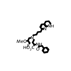 COC(CF)CN(CCCCc1ccc2c(n1)NCCC2)CCC(NC(=O)Cc1ccccc1)C(=O)O